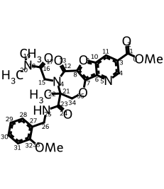 COC(=O)c1cnc2c3c(oc2c1)C(=O)N(CC(=O)N(C)C)C(C)(C(=O)NCc1ccccc1OC)CO3